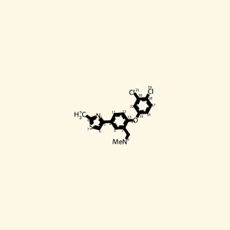 CNCc1cc(-c2csc(C)n2)ccc1Oc1ccc(Cl)c(Cl)c1